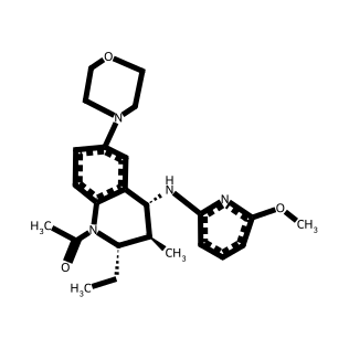 CC[C@H]1[C@H](C)[C@@H](Nc2cccc(OC)n2)c2cc(N3CCOCC3)ccc2N1C(C)=O